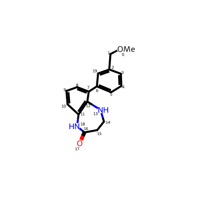 COCc1cccc(-c2cccc3c2NCCC(=O)N3)c1